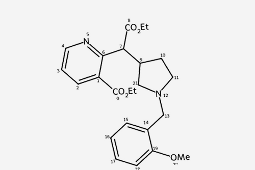 CCOC(=O)c1cccnc1C(C(=O)OCC)C1CCN(Cc2ccccc2OC)C1